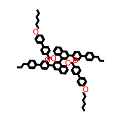 CCCCCCOc1ccc(-c2ccc(C(=O)Oc3c(-c4ccc(-c5ccc(CCC)cc5)cc4)cc4ccccc4c3-c3c(OC(=O)c4ccc(-c5ccc(OCCCCCC)cc5)cc4)c(-c4ccc(-c5ccc(CCC)cc5)cc4)cc4ccccc34)cc2)cc1